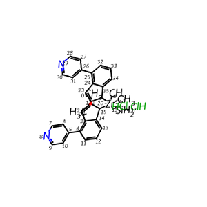 CC1=Cc2c(-c3ccncc3)cccc2[CH]1[Zr]([CH3])([CH3])(=[SiH2])[CH]1C(C)=Cc2c(-c3ccncc3)cccc21.Cl.Cl